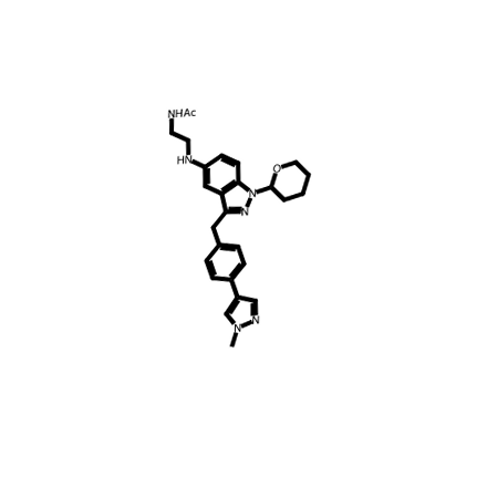 CC(=O)NCCNc1ccc2c(c1)c(Cc1ccc(-c3cnn(C)c3)cc1)nn2C1CCCCO1